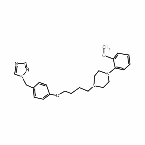 COc1ccccc1N1CCN(CCCCOc2ccc(Cn3cnnn3)cc2)CC1